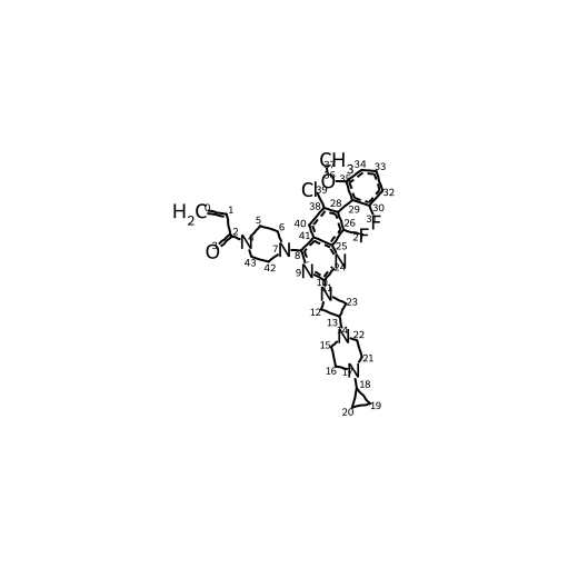 C=CC(=O)N1CCN(c2nc(N3CC(N4CCN(C5CC5)CC4)C3)nc3c(F)c(-c4c(F)cccc4OC)c(Cl)cc23)CC1